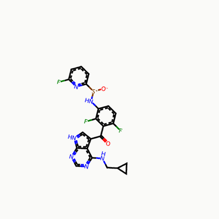 O=C(c1c(F)ccc(N[S+]([O-])c2cccc(F)n2)c1F)c1c[nH]c2ncnc(NCC3CC3)c12